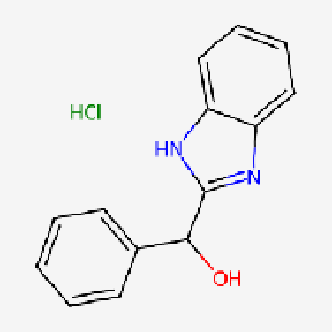 Cl.OC(c1ccccc1)c1nc2ccccc2[nH]1